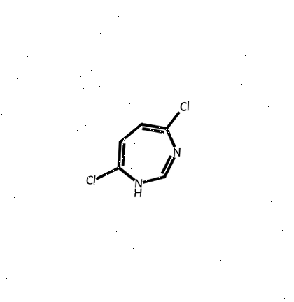 ClC1=CC=C(Cl)NC=N1